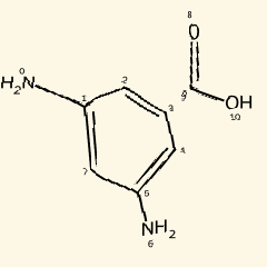 Nc1cccc(N)c1.O=CO